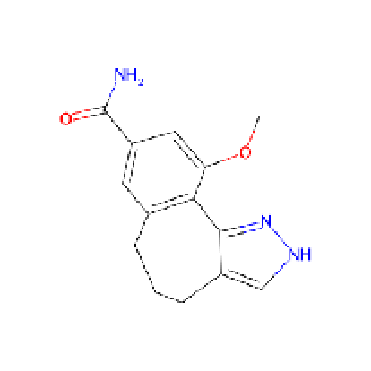 COc1cc(C(N)=O)cc2c1-c1n[nH]cc1CCC2